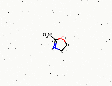 O=[N+]([O-])C1=NCCO1